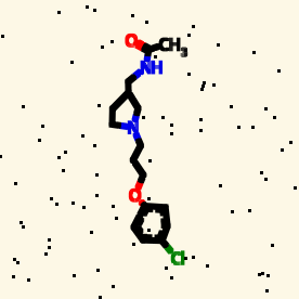 CC(=O)NCC1CCN(CCCOc2ccc(Cl)cc2)C1